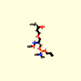 C=CCOP(OC[C@@H](COCC[C@H](O)CCCCCCC)NOC(C)(C)C)N(C(C)C)C(C)C